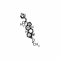 CCOC1C2[C@@H]3CC[C@@H]4[C@H](CC[C@]5(C)[C@@H](C(=O)Cn6ccnn6)CC[C@@H]45)[C@H]3CC[C@]12O